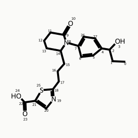 CCC(O)c1ccc(N2C(=O)CCCC2CCCc2ncc(C(=O)O)s2)cc1